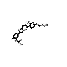 CCOC(=O)COc1ccc(-c2ccc3nc(-c4ccc(C)c(NC(=O)C(C)(C)C)c4)cn3n2)c(C(F)(F)F)n1